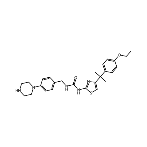 CCOc1ccc(C(C)(C)c2csc(NC(=O)NCc3ccc(N4CCNCC4)cc3)n2)cc1